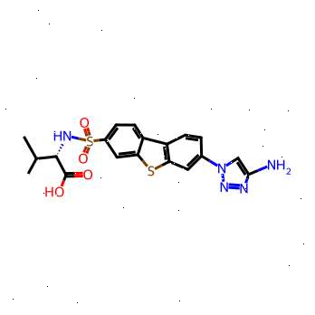 CC(C)[C@H](NS(=O)(=O)c1ccc2c(c1)sc1cc(-n3cc(N)nn3)ccc12)C(=O)O